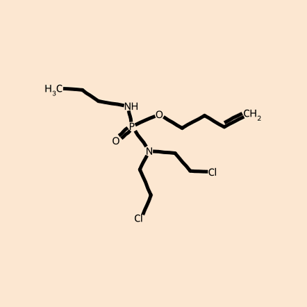 C=CCCOP(=O)(NCCC)N(CCCl)CCCl